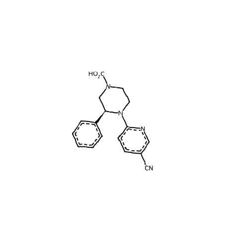 N#Cc1ccc(N2CCN(C(=O)O)C[C@@H]2c2ccccc2)nc1